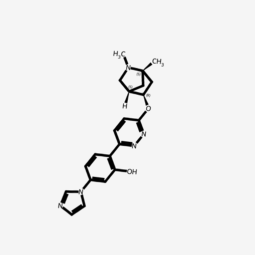 CN1C[C@@H]2C[C@@]1(C)C[C@H]2Oc1ccc(-c2ccc(-n3ccnc3)cc2O)nn1